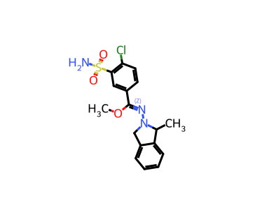 CO/C(=N\N1Cc2ccccc2C1C)c1ccc(Cl)c(S(N)(=O)=O)c1